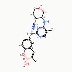 CC1=Cc2cc(Nc3ncc(C)c(N[C@@H]4COCC[C@H]4C#N)n3)ccc2OB1O